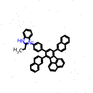 CCc1[nH]c2ccccc2[n+]1-c1ccc(-c2cc(-c3ccc4ccccc4c3)c3c(c2-c2ccc4ccccc4c2)-c2cccc4cccc-3c24)cc1